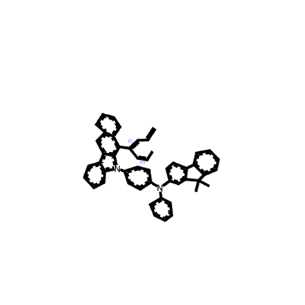 C=C/C=C(\C=C/C)c1c2ccccc2cc2c3ccccc3n(-c3ccc(N(c4ccccc4)c4ccc5c(c4)C(C)(C)c4ccccc4-5)cc3)c12